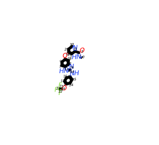 CNC(=O)c1cc(Oc2ccc3[nH]c(Nc4ccc(OC(F)(F)F)cc4)nc3c2)ccn1